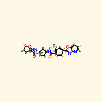 CN(C(=O)c1ccc(-c2nc3ncccc3o2)cc1F)[C@@H]1CC[C@H](NC(=O)C2CCCO2)C1